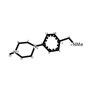 [CH2-][NH2+]Cc1ccc(N2CCN(C)CC2)cc1